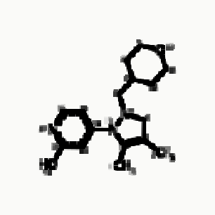 CC1=C(C(F)(F)F)CN(CC2CCOCC2)N1c1ccnc(O)c1